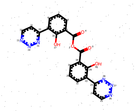 O=C(OC(=O)c1cccc(-c2ccnnn2)c1O)c1cccc(-c2ccnnn2)c1O